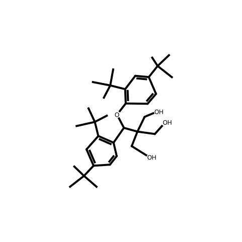 CC(C)(C)c1ccc(OC(c2ccc(C(C)(C)C)cc2C(C)(C)C)C(CO)(CO)CO)c(C(C)(C)C)c1